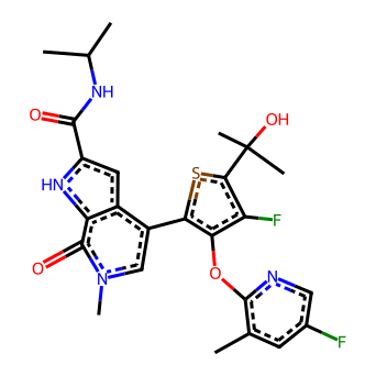 Cc1cc(F)cnc1Oc1c(-c2cn(C)c(=O)c3[nH]c(C(=O)NC(C)C)cc23)sc(C(C)(C)O)c1F